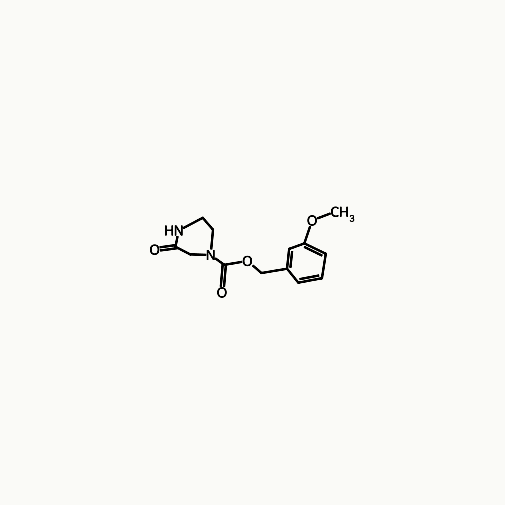 COc1cccc(COC(=O)N2CCNC(=O)C2)c1